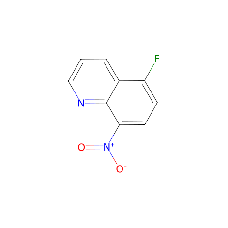 O=[N+]([O-])c1ccc(F)c2cccnc12